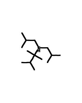 CC(C)C[SiH](CC(C)C)C(C)(C)C(C)C